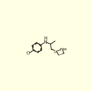 CC(C[C@@H]1CCN1)Nc1ccc(Cl)cc1